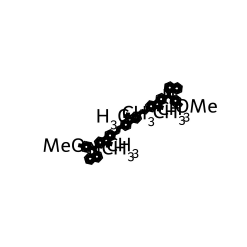 COc1ccc(N(c2ccc3c(c2)C(C)(C)c2cc(/C=C/c4ccc5c(c4)C(C)(C)c4cc(/C=C/c6ccc7c(c6)C(C)(C)c6cc(N(c8ccc(OC)cc8)c8cccc9ccccc89)ccc6-7)ccc4-5)ccc2-3)c2cccc3ccccc23)cc1